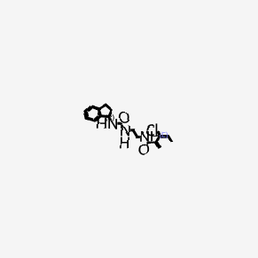 C=C(C(=O)NCCNC(=O)N[C@@H]1CCc2ccccc21)/C(Cl)=C\C